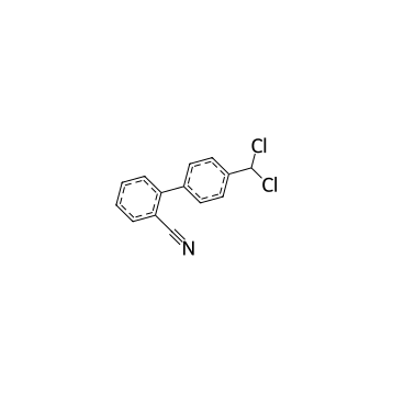 N#Cc1ccccc1-c1ccc(C(Cl)Cl)cc1